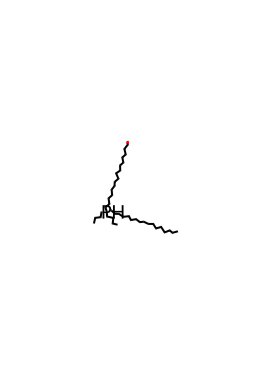 CCCCCCCCCCCCCCCCC[PH](CCCC)(CCCC)CCCCCCCCCCCCCCCCC